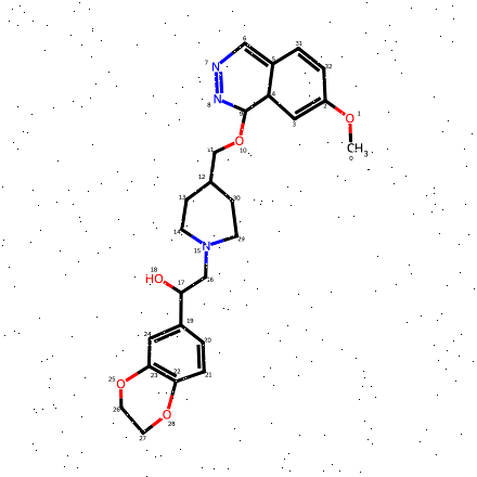 COC1=CC2C(=CN=NC2OCC2CCN(CC(O)c3ccc4c(c3)OCCO4)CC2)C=C1